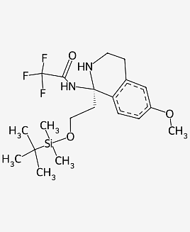 COc1ccc2c(c1)CCN[C@]2(CCO[Si](C)(C)C(C)(C)C)NC(=O)C(F)(F)F